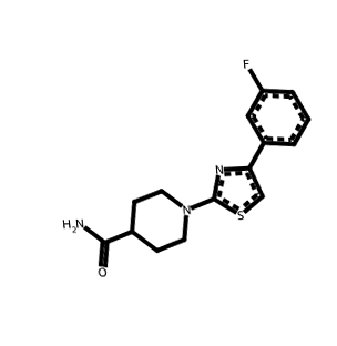 NC(=O)C1CCN(c2nc(-c3cccc(F)c3)cs2)CC1